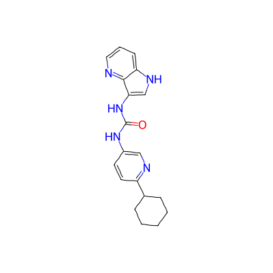 O=C(Nc1ccc(C2CCCCC2)nc1)Nc1c[nH]c2cccnc12